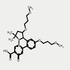 COCCCOc1ccc2c(c1)C1C(OCCCOC)CC(C)(C)N1n1cc(C(=O)O)c(=O)cc1-2